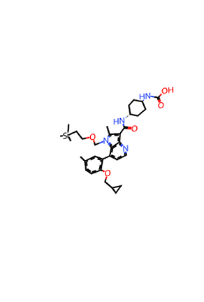 Cc1ccc(OCC2CC2)c(-c2ccnc3c(C(=O)N[C@H]4CC[C@@H](NC(=O)O)CC4)c(C)n(COCC[Si](C)(C)C)c23)c1